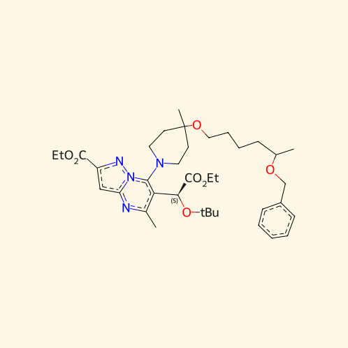 CCOC(=O)c1cc2nc(C)c([C@H](OC(C)(C)C)C(=O)OCC)c(N3CCC(C)(OCCCCC(C)OCc4ccccc4)CC3)n2n1